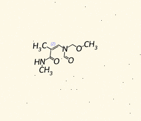 CNC(=O)/C(C)=C\N(C=O)COC